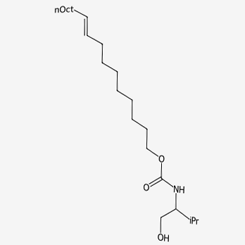 CCCCCCCCC=CCCCCCCCCOC(=O)NC(CO)C(C)C